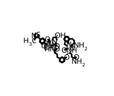 Cc1ncsc1-c1ccc([C@H](C)NC(=O)[C@@H]2C[C@@H](O)CN2C(=O)[C@@H](NC(=O)CCCc2cccc(OC[C@H](CCC(N)=O)NC(=O)[C@@H]3Cc4cccc5c4N3C(=O)[C@@H](N)CC5)c2)C(C)(C)C)cc1